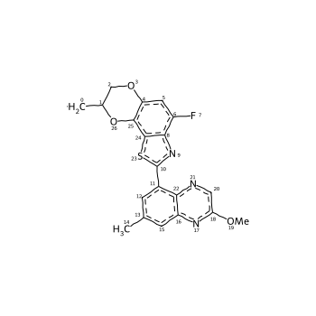 [CH2]C1COc2cc(F)c3nc(-c4cc(C)cc5nc(OC)cnc45)sc3c2O1